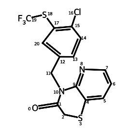 O=C1CSc2cccnc2N1Cc1ccc(Cl)c(SC(F)(F)F)c1